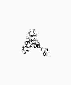 O=C(O)CCCC[N+]1(O)CNC2C(Cc3ccccc3)[S+]([O-])C(Cc3ccccc3)C21